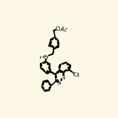 CC(=O)OCc1ccc(CNc2cccc(-c3c(-c4ccccc4)nnc4c(Cl)cccc34)c2)cc1